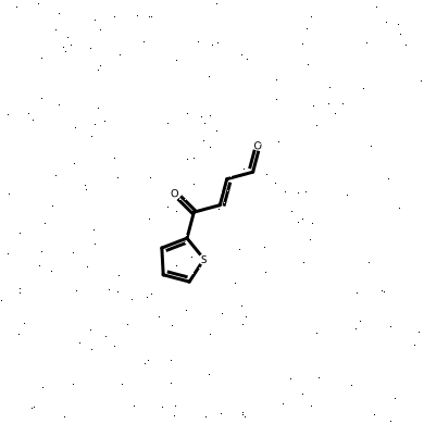 O=CC=CC(=O)c1cccs1